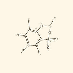 O=S(=O)(Cl)c1c(F)c(F)c(F)c(F)c1OCF